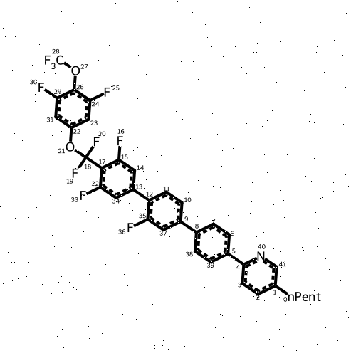 CCCCCc1ccc(-c2ccc(-c3ccc(-c4cc(F)c(C(F)(F)Oc5cc(F)c(OC(F)(F)F)c(F)c5)c(F)c4)c(F)c3)cc2)nc1